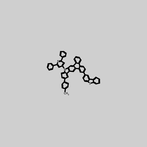 Cc1ccc(-c2ccc3c(c2)c2cc4c5cc(-c6ccc7sc8ccccc8c7c6)ccc5c5ccccc5c4cc2n3-c2cc(-c3ccccc3)nc(-c3ccccc3)c2)cc1